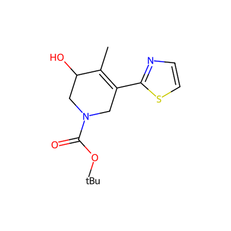 CC1=C(c2nccs2)CN(C(=O)OC(C)(C)C)CC1O